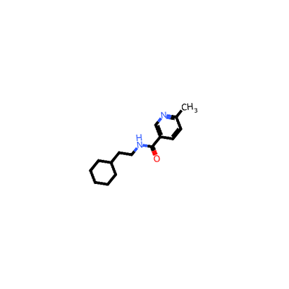 Cc1ccc(C(=O)NCCC2CCCCC2)cn1